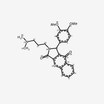 COc1ccc(C2c3c(oc4ccccc4c3=O)C(=O)N2CCCN(C)C)cc1OC